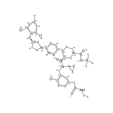 CCNC(=O)Cc1ccc(Cl)c(CN(C(=O)[C@@H]2CN(C(=O)OC(C)(C)C)CC[C@H]2c2ccc(N3CC[C@@H](Oc4c(Cl)cc(C)cc4Cl)C3)nc2)C2CC2)c1